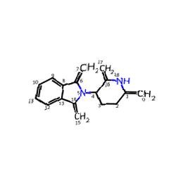 C=C1CCC(n2c(=C)c3ccccc3c2=C)C(=C)N1